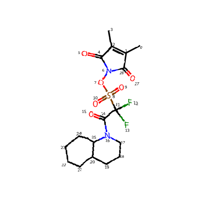 CC1=C(C)C(=O)N(OS(=O)(=O)C(F)(F)C(=O)N2CCCC3CCCCC32)C1=O